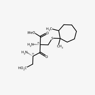 COC(=O)[C@@](N)(CSC1(C)CCCCCC1C)C(=O)[C@@H](N)CC(=O)O